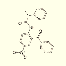 CC(C(=O)Nc1ccc([N+](=O)[O-])cc1C(=O)c1ccccc1)c1ccccc1